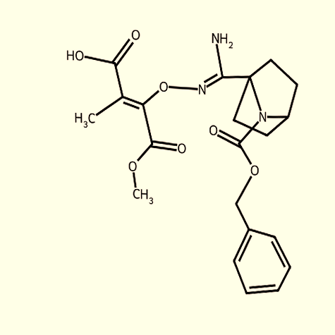 COC(=O)C(ON=C(N)C12CCC(CC1)N2C(=O)OCc1ccccc1)=C(C)C(=O)O